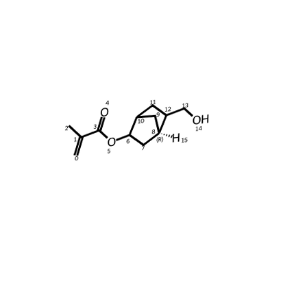 C=C(C)C(=O)OC1C[C@H]2CC1CC2CO